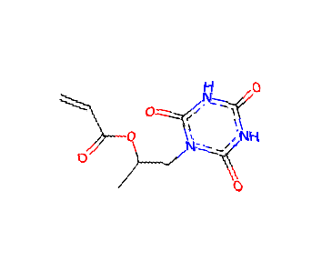 C=CC(=O)OC(C)Cn1c(=O)[nH]c(=O)[nH]c1=O